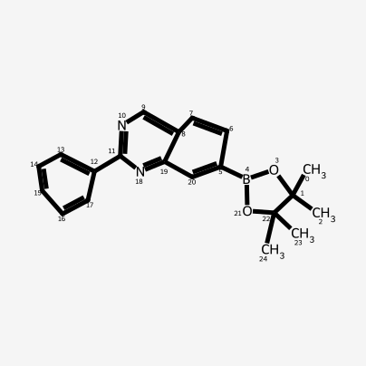 CC1(C)OB(c2ccc3cnc(-c4ccccc4)nc3c2)OC1(C)C